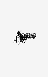 COc1c(OCCCN2CCOCC2)ccc2c(=O)n(C)c(NC(=O)c3ccc4scnc4c3)nc12